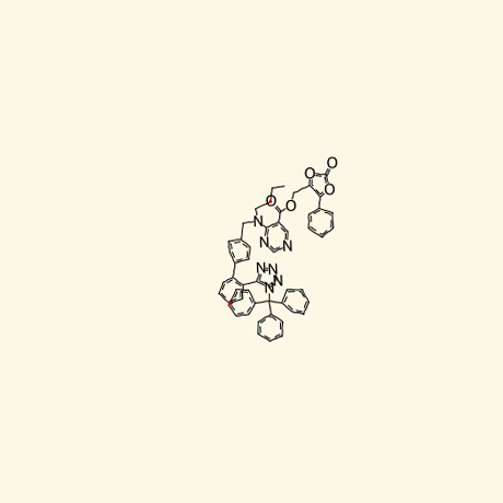 CCCCN(Cc1ccc(-c2ccccc2-c2nnnn2C(c2ccccc2)(c2ccccc2)c2ccccc2)cc1)c1ncncc1C(=O)OCc1oc(=O)oc1-c1ccccc1